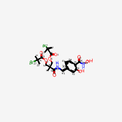 CC(C)(Br)C(=O)OCC(C)(COC(=O)C(C)(C)Br)C(=O)NCc1ccc(C(=O)NO)c(O)c1